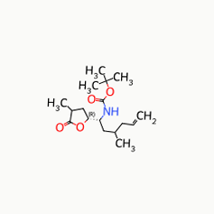 C=CCC(C)CC(NC(=O)OC(C)(C)C)[C@H]1CC(C)C(=O)O1